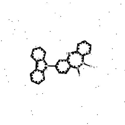 Cn1c2ccccc2[nH]c2cc(-n3c4ccccc4c4ccccc43)ccc2n1F